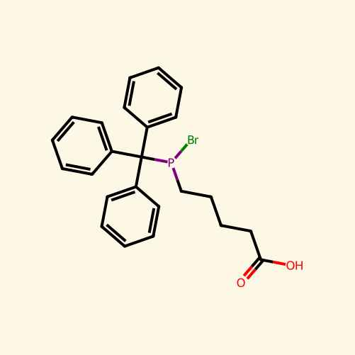 O=C(O)CCCCP(Br)C(c1ccccc1)(c1ccccc1)c1ccccc1